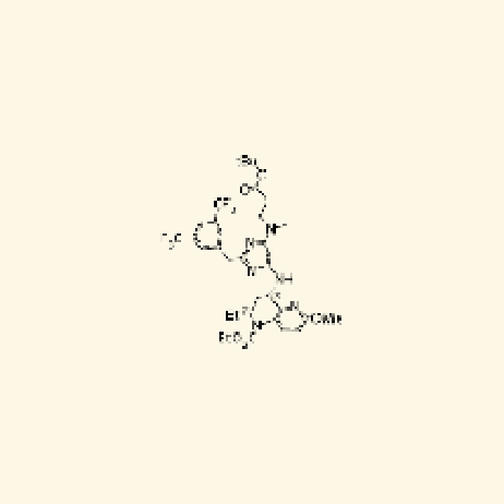 CCOC(=O)N1c2ccc(OC)nc2[C@@H](Nc2cc(N(C)CCC(=O)OC(C)(C)C)nc(Cc3cc(C(F)(F)F)cc(C(F)(F)F)c3)n2)C[C@H]1CC